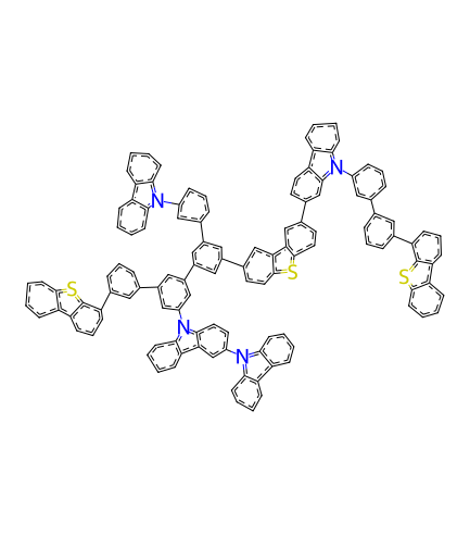 c1cc(-c2cccc(-n3c4ccccc4c4ccc(-c5ccc6sc7ccc(-c8cc(-c9cccc(-n%10c%11ccccc%11c%11ccccc%11%10)c9)cc(-c9cc(-c%10cccc(-c%11cccc%12c%11sc%11ccccc%11%12)c%10)cc(-n%10c%11ccccc%11c%11cc(-n%12c%13ccccc%13c%13ccccc%13%12)ccc%11%10)c9)c8)cc7c6c5)cc43)c2)cc(-c2cccc3c2sc2ccccc23)c1